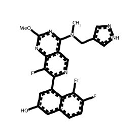 CCc1c(F)ccc2cc(O)cc(-c3ncc4c(N(C)Cc5cn[nH]c5)nc(OC)nc4c3F)c12